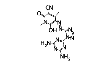 Cc1c(/N=N/c2ncnn2-c2nc(N)nc(N)n2)c(O)n(C)c(=O)c1C#N